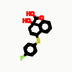 O=C(O)C1(O)CC=C(Sc2ccc(F)cc2)c2ccccc21